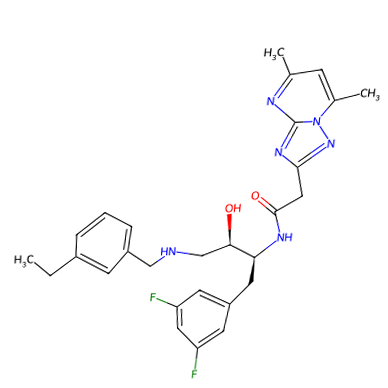 CCc1cccc(CNC[C@@H](O)[C@H](Cc2cc(F)cc(F)c2)NC(=O)Cc2nc3nc(C)cc(C)n3n2)c1